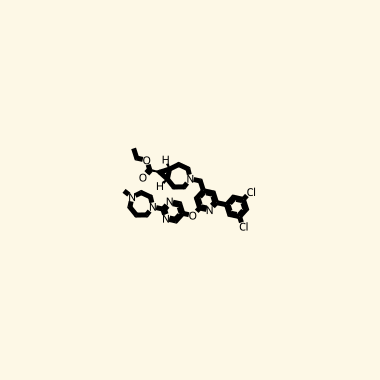 CCOC(=O)[C@H]1[C@@H]2CCN(Cc3cc(Oc4cnc(N5CCCN(C)CC5)nc4)nc(-c4cc(Cl)cc(Cl)c4)c3)CC[C@@H]21